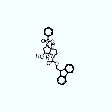 O=C(OCC1c2ccccc2-c2ccccc21)N1CC[C@@H]2[C@H]1[C@@H](O)CN2S(=O)(=O)c1ccccc1